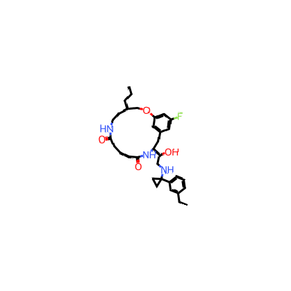 CCCC1CCNC(=O)CCCC(=O)NC(C(O)CNC2(c3cccc(CC)c3)CC2)Cc2cc(F)cc(c2)OC1